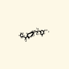 O=C(Nc1ccc(C(=O)N2CCCC2)cc1)Nc1cccc(C(F)(F)F)c1